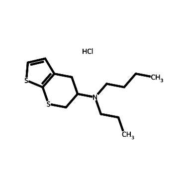 CCCCN(CCC)C1CSc2sccc2C1.Cl